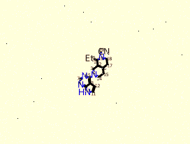 CCC1C2CN(c3ncnc4[nH]ccc34)CCC2CCN1C#N